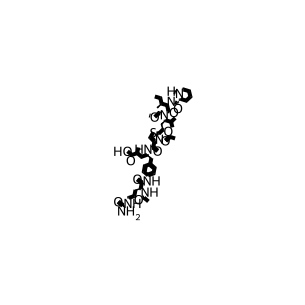 CC[C@H](C)[C@H](NC(=O)[C@H]1CCCCN1C)C(=O)N(COC)[C@H](C[C@@H](OC(C)=O)c1nc(C(=O)N[C@@H](Cc2ccc(NC(=O)[C@H](CCCNC(N)=O)NC(C)=O)cc2)CC(C)C(=O)O)cs1)C(C)C